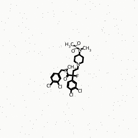 CN(Cc1ccc(Cl)c(Cl)c1)C(=O)C(F)(CCN1CCC(N(C)S(C)(=O)=O)CC1)c1ccc(Cl)c(Cl)c1